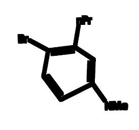 CCCc1cc(NC)ccc1Br